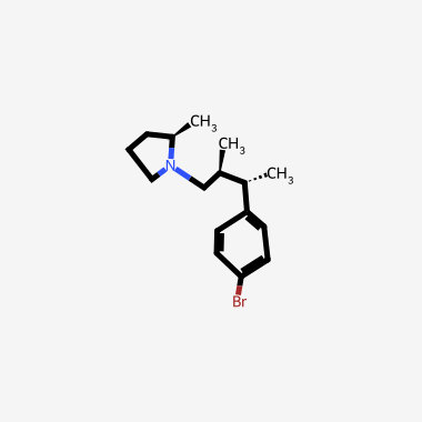 C[C@H](CN1CCC[C@H]1C)[C@H](C)c1ccc(Br)cc1